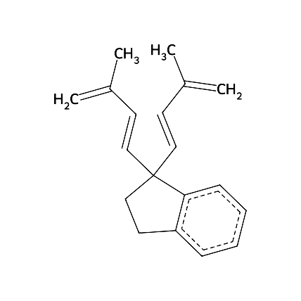 C=C(C)C=CC1(C=CC(=C)C)CCc2ccccc21